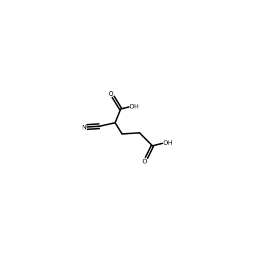 N#CC(CCC(=O)O)C(=O)O